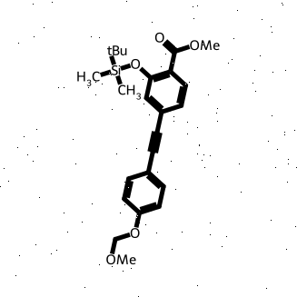 COCOc1ccc(C#Cc2ccc(C(=O)OC)c(O[Si](C)(C)C(C)(C)C)c2)cc1